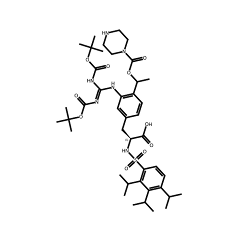 CC(C)c1ccc(S(=O)(=O)N[C@@H](Cc2ccc(C(C)OC(=O)N3CCNCC3)c(NC(=NC(=O)OC(C)(C)C)NC(=O)OC(C)(C)C)c2)C(=O)O)c(C(C)C)c1C(C)C